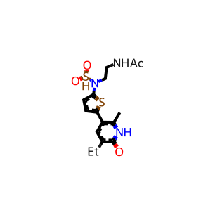 CCc1cc(-c2ccc(N(CCNC(C)=O)[SH](=O)=O)s2)c(C)[nH]c1=O